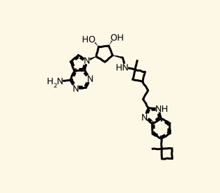 CC1(NC[C@H]2C[C@@H](n3ccc4c(N)ncnc43)[C@H](O)[C@@H]2O)CC(CCc2nc3cc(C4(C)CCC4)ccc3[nH]2)C1